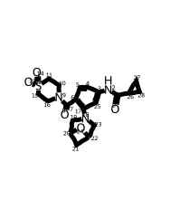 O=C(Nc1ccc(C(=O)N2CCS(=O)(=O)CC2)c(N2CC3CC(C2)O3)c1)C1CC1